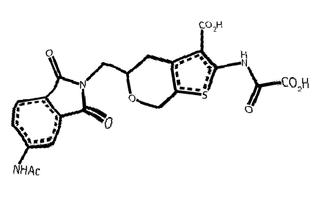 CC(=O)Nc1ccc2c(c1)C(=O)N(CC1Cc3c(sc(NC(=O)C(=O)O)c3C(=O)O)CO1)C2=O